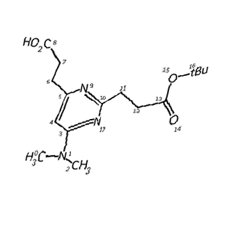 CN(C)c1cc(CCC(=O)O)nc(CCC(=O)OC(C)(C)C)n1